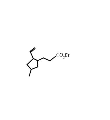 C=CC1CC(C)CC1CCC(=O)OCC